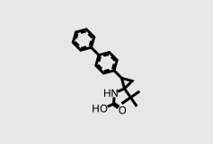 CC(C)(C)C1(NC(=O)O)CC1c1ccc(-c2ccccc2)cc1